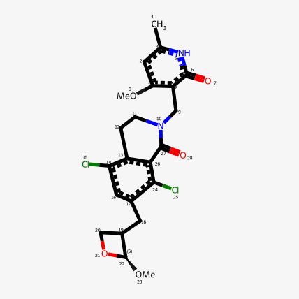 COc1cc(C)[nH]c(=O)c1CN1CCc2c(Cl)cc(CC3CO[C@@H]3OC)c(Cl)c2C1=O